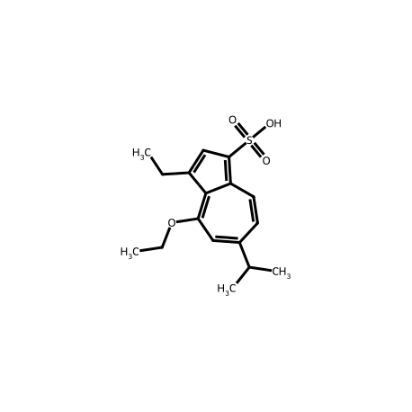 CCOc1cc(C(C)C)ccc2c(S(=O)(=O)O)cc(CC)c1-2